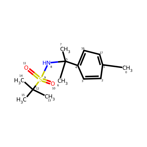 Cc1ccc(C(C)(C)NS(=O)(=O)C(C)(C)C)cc1